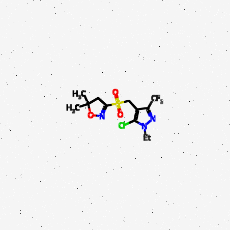 CCn1nc(C(F)(F)F)c(CS(=O)(=O)C2=NOC(C)(C)C2)c1Cl